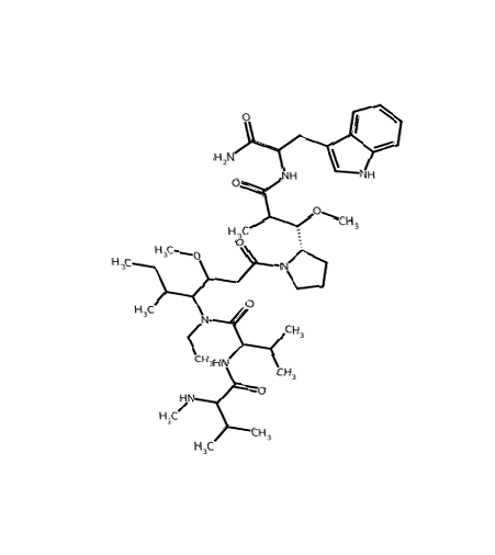 CCC(C)C(C(CC(=O)N1CCC[C@H]1C(OC)C(C)C(=O)NC(Cc1c[nH]c2ccccc12)C(N)=O)OC)N(CC)C(=O)C(NC(=O)C(NC)C(C)C)C(C)C